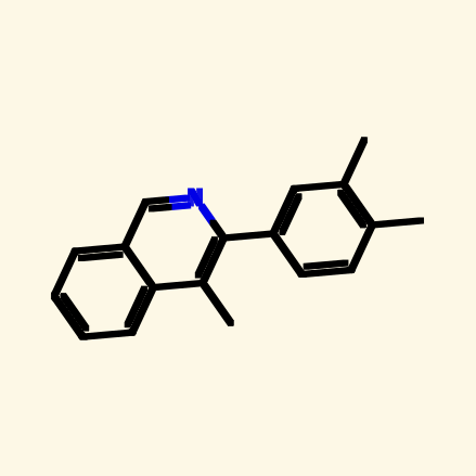 Cc1ccc(-c2ncc3ccccc3c2C)cc1C